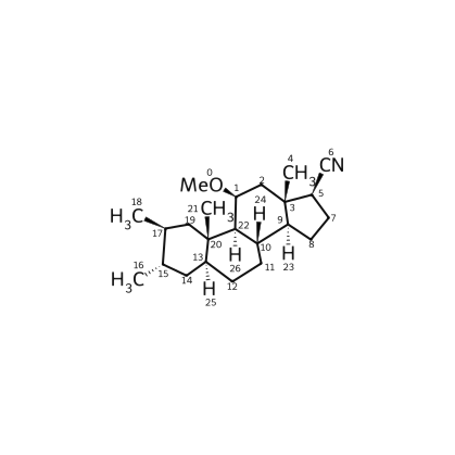 CO[C@H]1C[C@]2(C)[C@@H](C#N)CC[C@H]2[C@@H]2CC[C@H]3C[C@H](C)[C@@H](C)C[C@]3(C)[C@H]21